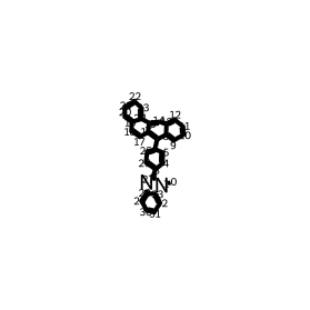 Cn1c(-c2ccc(-c3c4ccccc4cc4c3ccc3ccccc34)cc2)nc2ccccc21